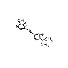 Cc1ncc(C#Cc2ccc(C(C)C)c(F)c2)o1